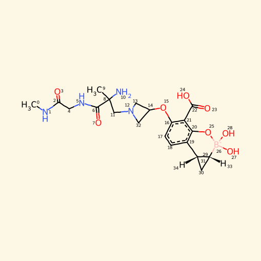 CNC(=O)CNC(=O)C(C)(N)CN1CC(Oc2ccc3c(c2C(=O)O)O[B-](O)(O)[C@@H]2C[C@H]32)C1